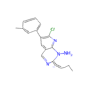 CC/C=C1/N=Cc2cc(-c3cccc(C)c3)c(Cl)nc2N1N